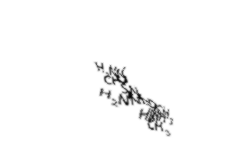 CBNC1(C)CCN(c2cnc(Sc3ccnc(N)c3Cl)c(N)n2)CC1